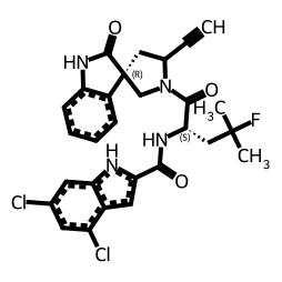 C#CC1C[C@@]2(CN1C(=O)[C@H](CC(C)(C)F)NC(=O)c1cc3c(Cl)cc(Cl)cc3[nH]1)C(=O)Nc1ccccc12